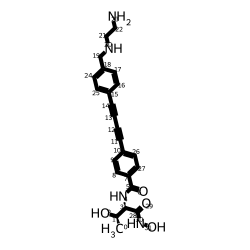 C[C@@H](O)[C@H](NC(=O)c1ccc(C#CC#Cc2ccc(CNCCN)cc2)cc1)C(=O)NO